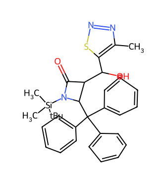 Cc1nnsc1C(O)C1C(=O)N([Si](C)(C)C(C)(C)C)C1C(c1ccccc1)(c1ccccc1)c1ccccc1